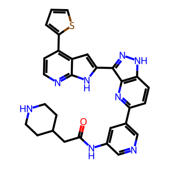 O=C(CC1CCNCC1)Nc1cncc(-c2ccc3[nH]nc(-c4cc5c(-c6cccs6)ccnc5[nH]4)c3n2)c1